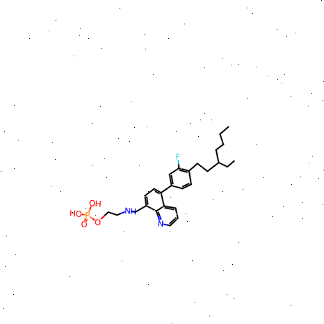 CCCCC(CC)CCc1ccc(-c2ccc(CNCCOP(=O)(O)O)c3ncccc23)cc1F